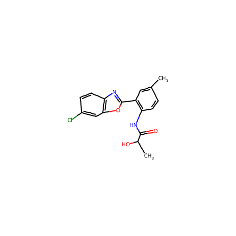 Cc1ccc(NC(=O)C(C)O)c(-c2nc3ccc(Cl)cc3o2)c1